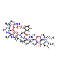 C/C=C/C[C@@H](C)[C@@H](O)[C@@H](C(=O)N[C@@H](CC)C(=O)O)N(C)C(=O)[C@H](C(C)C)N(C)C(=O)[C@H](CC(C)C)N(C)C(=O)[C@H](CC(C)C)N(C)C(=O)[C@@H](C)NC(=O)[C@H](C)NC(=O)[C@H](CC(C)C)N(C)C(=O)[C@@H](NC(=O)OCc1ccccc1)C(C)C